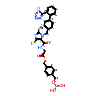 CCCCc1nc(Cl)c(C(=O)NCC(=O)OCc2ccc(CON(O)O)cc2)n1Cc1ccc(-c2ccccc2-c2nnn[nH]2)cc1